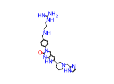 N=C(N)NCCCNCc1ccc(-n2cc3cc(C4CCCN(Cc5ncc[nH]5)C4)[nH]c3nc2=O)cc1